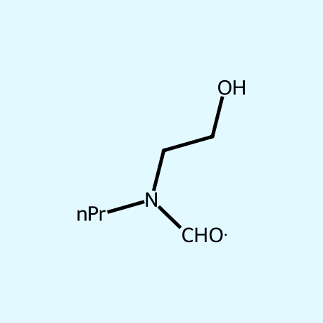 CCCN([C]=O)CCO